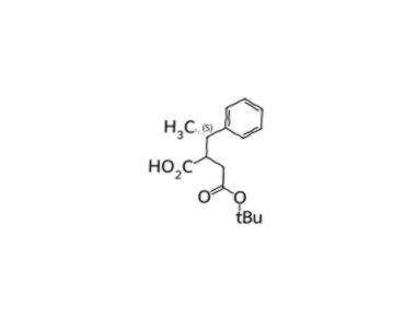 C[C@H](c1ccccc1)C(CC(=O)OC(C)(C)C)C(=O)O